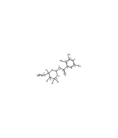 CCCCCC1(C)CC(OC(=O)c2cc(I)cc(I)c2I)CC(C)(C)N1C